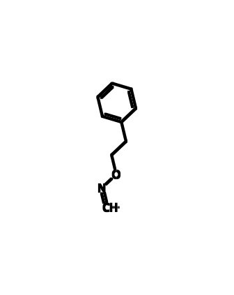 [CH]=NOCCc1ccccc1